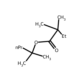 CCCC(C)(C)OC(=O)C(C)(C)CC